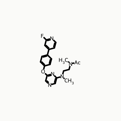 CC(=O)N(C)CCN(C)c1cncc(Oc2ccc(-c3ccnc(F)c3)cc2)n1